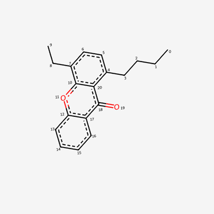 CCCCc1ccc(CC)c2oc3ccccc3c(=O)c12